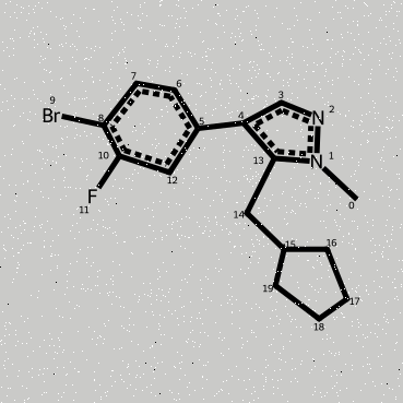 Cn1ncc(-c2ccc(Br)c(F)c2)c1C[C]1CCCC1